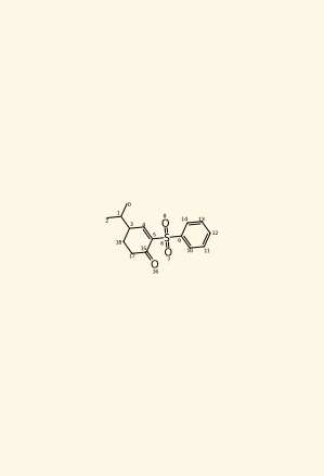 CC(C)C1C=C(S(=O)(=O)c2ccccc2)C(=O)CC1